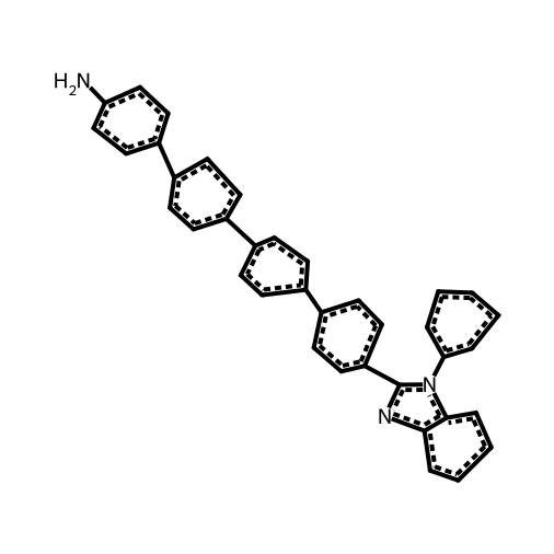 Nc1ccc(-c2ccc(-c3ccc(-c4ccc(-c5nc6ccccc6n5-c5ccccc5)cc4)cc3)cc2)cc1